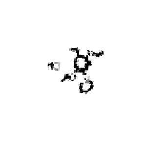 CCOc1cc(N2CCCCC2)c(OCC)cc1CC.Cl